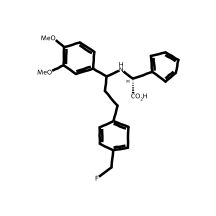 COc1ccc(C(CCc2ccc(CF)cc2)N[C@@H](C(=O)O)c2ccccc2)cc1OC